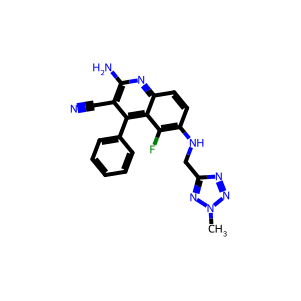 Cn1nnc(CNc2ccc3nc(N)c(C#N)c(-c4ccccc4)c3c2F)n1